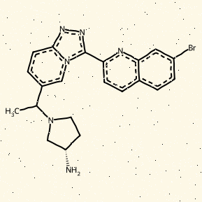 CC(c1ccc2nnc(-c3ccc4ccc(Br)cc4n3)n2c1)N1CC[C@H](N)C1